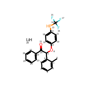 Cc1ccccc1C(Oc1ccc(PC(F)(F)F)cc1)C(=O)c1ccccc1.[LiH]